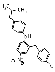 CC(C)Oc1ccc(Nc2ccc([N+](=O)[O-])cc2Cc2ccc(Cl)cc2)cc1